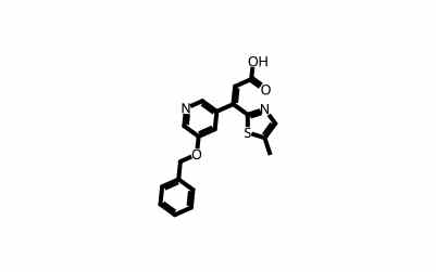 Cc1cnc(/C(=C\C(=O)O)c2cncc(OCc3ccccc3)c2)s1